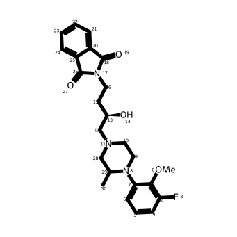 COc1c(F)cccc1N1CCN(C[C@H](O)CCN2C(=O)c3ccccc3C2=O)CC1C